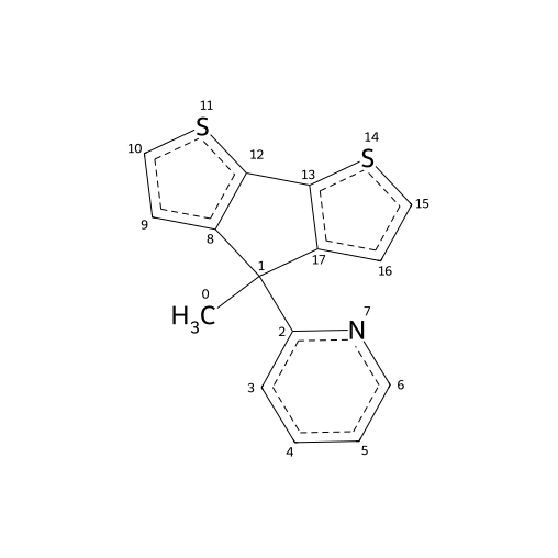 CC1(c2ccccn2)c2ccsc2-c2sccc21